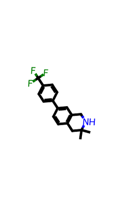 CC1(C)Cc2ccc(-c3ccc(C(F)(F)F)cc3)cc2CN1